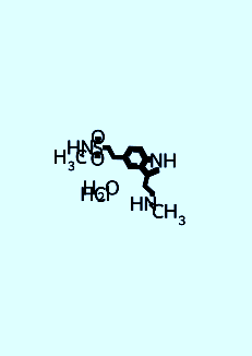 CNCCc1c[nH]c2ccc(CCS(=O)(=O)NC)cc12.Cl.O